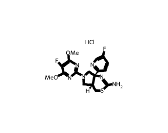 COc1nc(N2C[C@H]3CSC(N)=N[C@@]3(c3ccc(F)cn3)C2)nc(OC)c1F.Cl